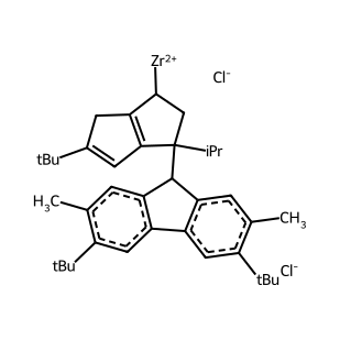 Cc1cc2c(cc1C(C)(C)C)-c1cc(C(C)(C)C)c(C)cc1C2C1(C(C)C)C[CH]([Zr+2])C2=C1C=C(C(C)(C)C)C2.[Cl-].[Cl-]